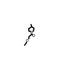 CCOCCC(=O)N1CCC(C)CC1